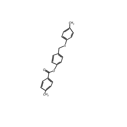 Cc1ccc(SCc2ccc(OC(=O)c3ccc(C)cc3)cc2)cc1